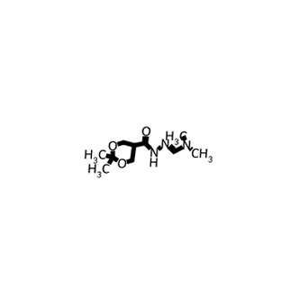 CN(C)C=NNC(=O)C1COC(C)(C)OC1